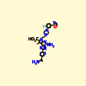 Cc1c(C(=O)O)n(CCN2CCN(c3cc(-c4ncco4)ccc3F)CC2)c2nc(N)n3nc(-c4ccc(C5CC5N)cn4)nc3c12